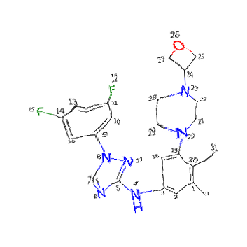 Cc1cc(Nc2ncn(-c3cc(F)cc(F)c3)n2)cc(N2CCN(C3COC3)CC2)c1C